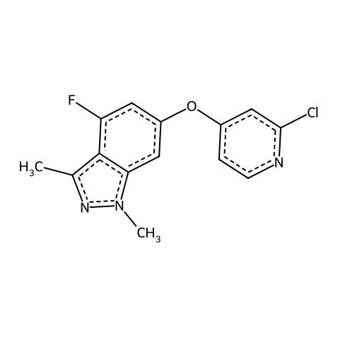 Cc1nn(C)c2cc(Oc3ccnc(Cl)c3)cc(F)c12